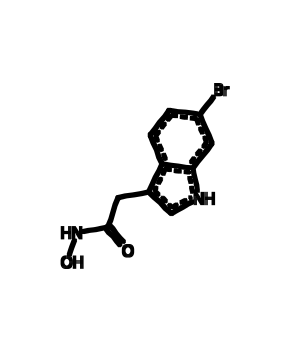 O=C(Cc1c[nH]c2cc(Br)ccc12)NO